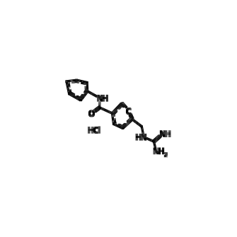 Cl.N=C(N)NCc1ccc(C(=O)Nc2ccccc2)cc1